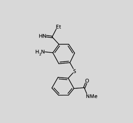 CCC(=N)c1ccc(Sc2ccccc2C(=O)NC)cc1N